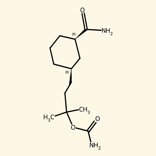 CC(C)(CC[C@H]1CCC[C@@H](C(N)=O)C1)OC(N)=O